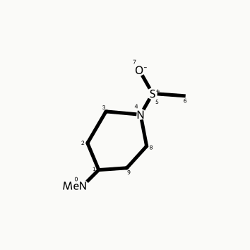 CNC1CCN([S+](C)[O-])CC1